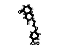 O=Cc1ccc(OCCN2C=C3C=CCC(=O)C3=CN2)cc1